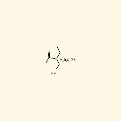 CCN(CC)C(=O)[O-].O.O.O.[Na+]